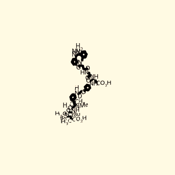 CN[C@H](C(=O)NC(C(=O)N(C)C(/C=C(\C)C(=O)O)C(C)C)C(C)(C)C)C(C)(C)c1cccc(NC(=O)COc2ccc(NC(=O)[C@H](CCC(=O)O)NC(=O)CNC(=O)CCC(=O)N3Cc4ccccc4C(N)C(N=N)c4ccccc43)cc2)c1